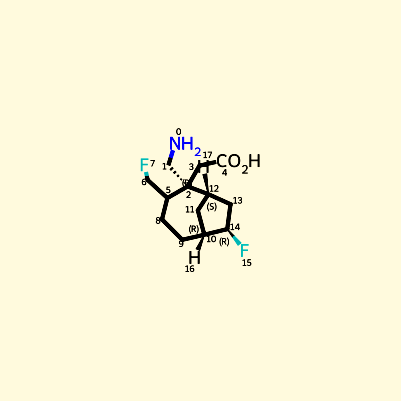 NC[C@@]1(CC(=O)O)C(CF)CC[C@@H]2C[C@H]1C[C@H]2F